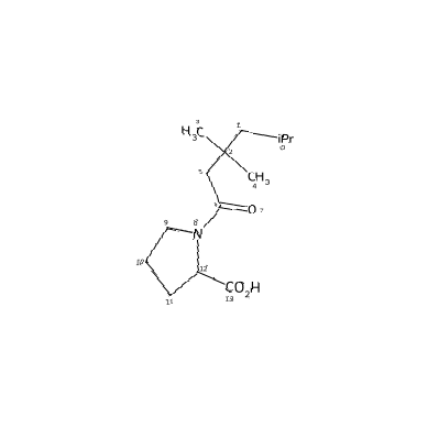 CC(C)CC(C)(C)CC(=O)N1CCCC1C(=O)O